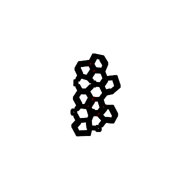 c1ccc(-c2cccc(-c3ccccc3)c2B2c3ccccc3Sc3cc4c(cc32)B2c3ccccc3Oc3cccc(c32)O4)cc1